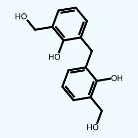 OCc1cccc(Cc2cccc(CO)c2O)c1O